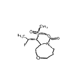 C/C(F)=C(/C1COCCCN1C=O)S(C)(=O)=O